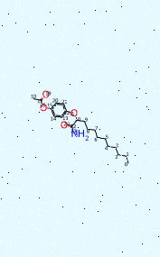 CCCCCCCCCCC(Oc1ccc(OC(C)=O)cc1)C(N)=O